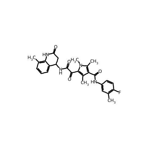 Cc1cc(NC(=O)c2c(C)c(C(=O)C(=O)NC3CC(=O)Nc4c(C)cccc43)n(C)c2C)ccc1F